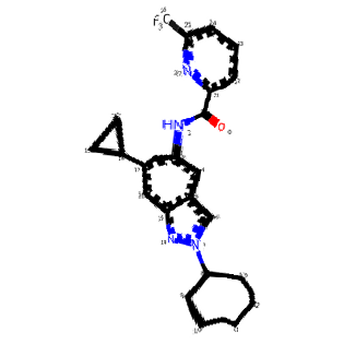 O=C(Nc1cc2cn(C3CCCCC3)nc2cc1C1CC1)c1cccc(C(F)(F)F)n1